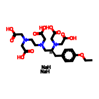 CCOc1ccc(C[C@@H](CN(CCN(CC(=O)O)CC(=O)O)CC(=O)O)N(CC(=O)O)CC(=O)O)cc1.[NaH].[NaH]